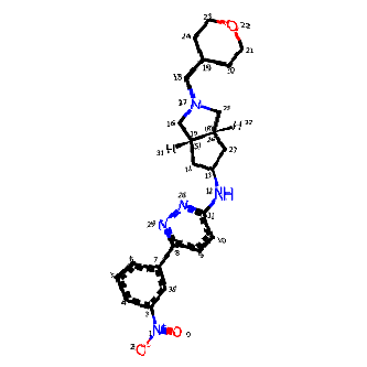 O=[N+]([O-])c1cccc(-c2ccc(NC3C[C@@H]4CN(CC5CCOCC5)C[C@@H]4C3)nn2)c1